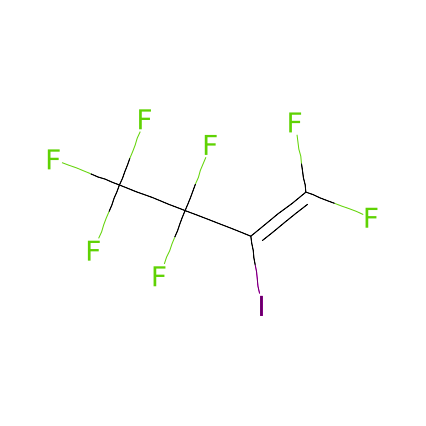 FC(F)=C(I)C(F)(F)C(F)(F)F